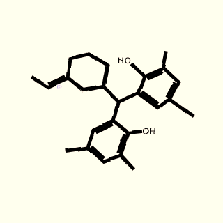 C/C=C1\CCCC(C(c2cc(C)cc(C)c2O)c2cc(C)cc(C)c2O)C1